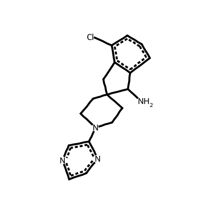 NC1c2cccc(Cl)c2CC12CCN(c1cnccn1)CC2